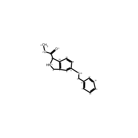 COC(=O)C1NCc2cc(SCc3ccccc3)ccc21